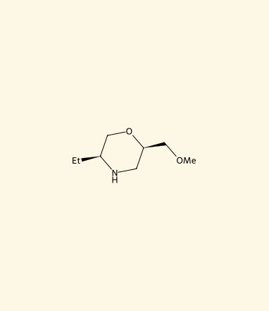 CC[C@H]1CO[C@@H](COC)CN1